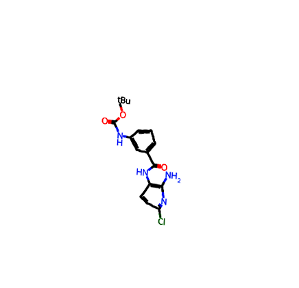 CC(C)(C)OC(=O)Nc1cccc(C(=O)Nc2ccc(Cl)nc2N)c1